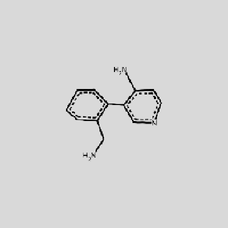 NCc1ccccc1-c1cnccc1N